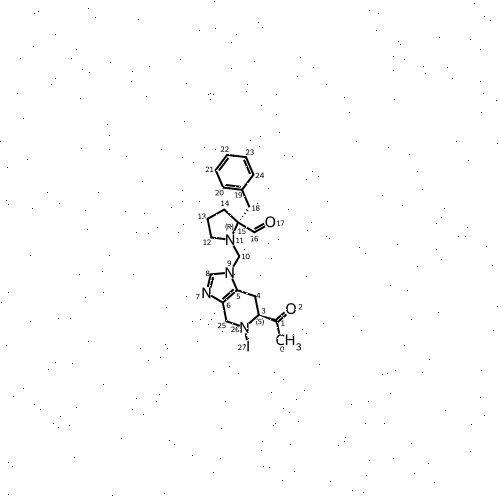 CC(=O)[C@@H]1Cc2c(ncn2CN2CCC[C@]2(C=O)Cc2ccccc2)CN1I